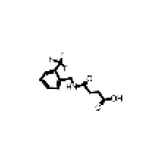 O=C(O)CCC(=O)NCc1ccccc1C(F)(F)F